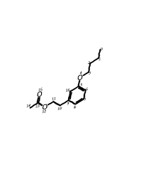 CCCCOc1cccc(CCOC(C)=O)c1